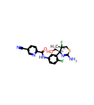 C[C@@]1(F)CSC(N)=N[C@]1(CO)c1cc(NC(=O)c2ccc(C#N)cn2)ccc1F